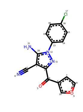 N#Cc1c(C(=O)c2ccoc2)nn(-c2ccc(Cl)cc2)c1N